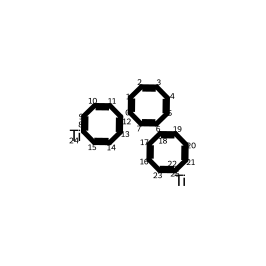 C1=C\C=C/C=C\C=C/1.C1=C\C=C/C=C\C=C/1.C1=C\C=C/C=C\C=C/1.[Ti].[Ti]